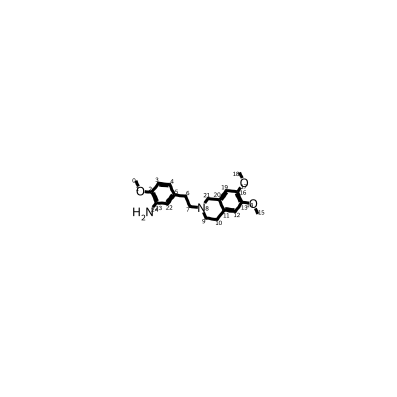 COc1ccc(CCN2CCc3cc(OC)c(OC)cc3C2)cc1N